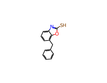 Sc1nc2cccc(Cc3ccccc3)c2o1